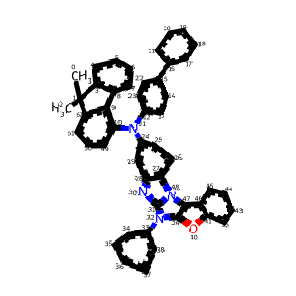 CC1(C)c2ccccc2-c2c(N(c3ccc(-c4ccccc4)cc3)c3ccc4c(c3)nc3n(-c5ccccc5)c5oc6ccccc6c5n43)cccc21